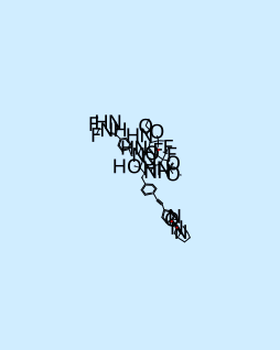 COC(=O)N[C@H](C(=O)NN(Cc1ccc(/C(C=N)=C/NC(F)F)cc1)C[C@H](O)[C@H](Cc1ccc(C#Cc2ccc(N3CC4CCC(C3)N4C3COC3)nc2)cc1)NC(=O)[C@@H](NC(=O)OC)C(C)(C)C(F)(F)F)C(C)(C)C